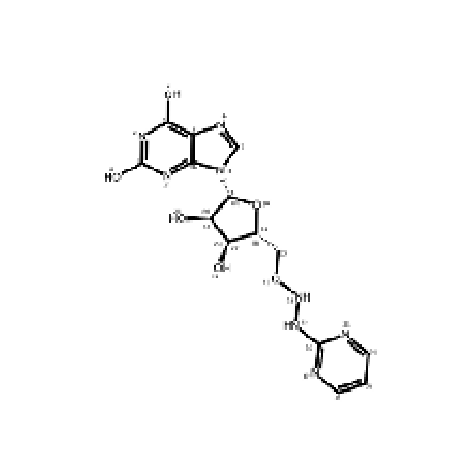 Oc1nc(O)c2ncn([C@@H]3O[C@H](CONNc4ncccn4)[C@@H](O)[C@H]3O)c2n1